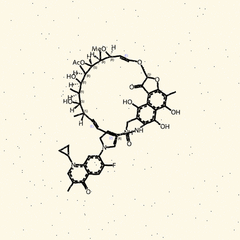 CO[C@H]1/C=C/O[C@@]2(C)Oc3c(C)c(O)c4c(O)c(c(CN[C@@H]5CCN(c6cc7c(cc6F)c(=O)c(C)cn7C6CC6)C5)c(O)c4c3C2=O)NC(=O)/C(C)=C\C=C\[C@H](C)[C@H](O)[C@@H](C)[C@@H](O)[C@@H](C)[C@H](OC(C)=O)[C@@H]1C